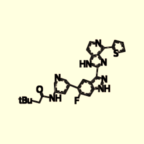 CC(C)(C)CC(=O)Nc1cncc(-c2cc3c(-c4nc5c(-c6cccs6)nccc5[nH]4)n[nH]c3cc2F)c1